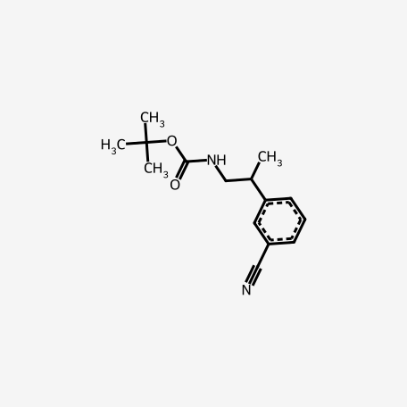 CC(CNC(=O)OC(C)(C)C)c1cccc(C#N)c1